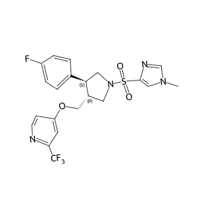 Cn1cnc(S(=O)(=O)N2C[C@H](COc3ccnc(C(F)(F)F)c3)[C@@H](c3ccc(F)cc3)C2)c1